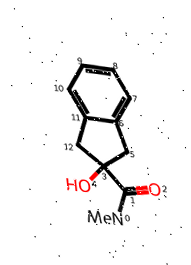 CNC(=O)C1(O)Cc2ccccc2C1